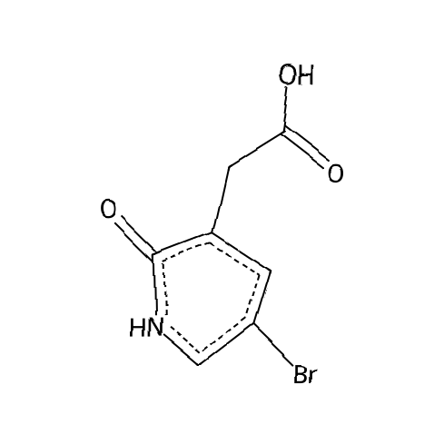 O=C(O)Cc1cc(Br)c[nH]c1=O